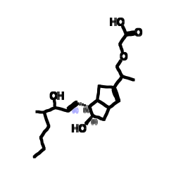 CCCCC(C)C(O)/C=C/[C@@H]1C2CC(C(C)COCC(=O)O)=CC2C[C@H]1O